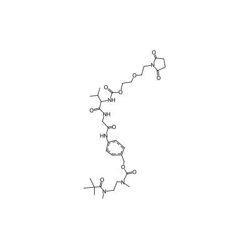 CC(C)C(NC(=O)OCCOCCN1C(=O)CCC1=O)C(=O)NCC(=O)Nc1ccc(COC(=O)N(C)CCN(C)C(=O)C(C)(C)C)cc1